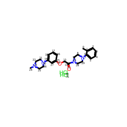 Cc1ccccc1N1CCN(C(=O)COc2cccc(N3CCN(C)CC3)c2)CC1.Cl.Cl